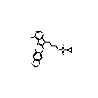 Nc1ncnc2c1nc(Sc1cc3c(cc1I)OCO3)n2CCCNS(=O)(=O)C1CC1